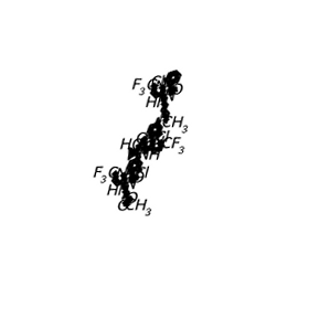 CN(CCCNc1nc(=O)n(-c2ccccc2Cl)c2nc(C(F)(F)F)ccc12)Cc1ccc(-n2c(=O)nc(NC(c3ccc(-n4c(=O)nc(NCCS(C)(=O)=O)c5ccc(C(F)(F)F)nc54)c(Cl)c3)C3(CO)CC3)c3ccc(C(F)(F)F)nc32)c(Cl)c1